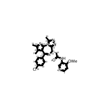 COc1ccncc1NC(=O)C[C@@H]1N=C(c2ccc(Cl)cc2)c2c(sc(C)c2C)-n2c(C)nnc21